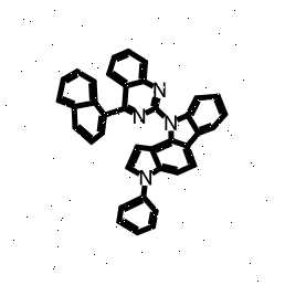 c1ccc(-n2ccc3c2ccc2c4ccccc4n(-c4nc(-c5cccc6ccccc56)c5ccccc5n4)c23)cc1